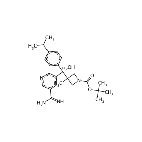 CC(C)c1ccc([C@](O)(c2cncc(C(=N)N)c2)C2(C)CN(C(=O)OC(C)(C)C)C2)cc1